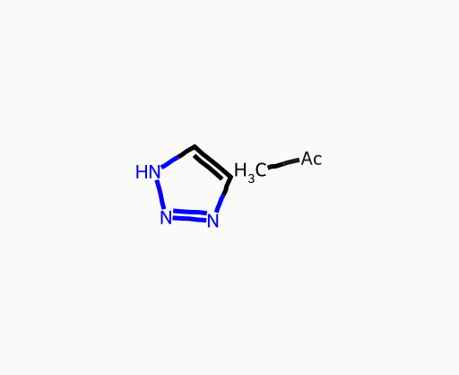 CC(C)=O.c1c[nH]nn1